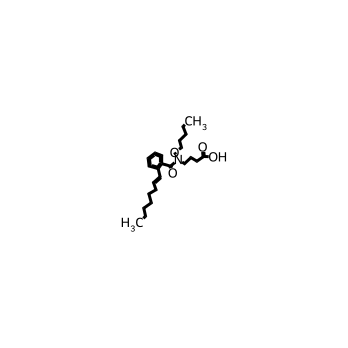 CCCCCCC=Cc1ccccc1C(=O)N(CCCC(=O)O)OCCCCC